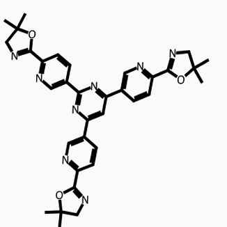 CC1(C)CN=C(c2ccc(-c3cc(-c4ccc(C5=NCC(C)(C)O5)nc4)nc(-c4ccc(C5=NCC(C)(C)O5)nc4)n3)cn2)O1